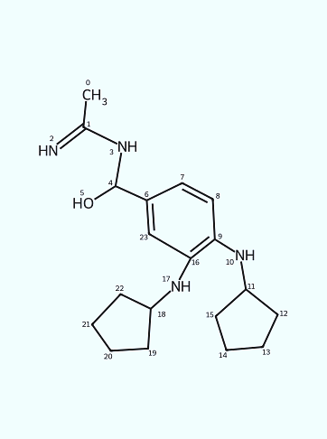 CC(=N)NC(O)c1ccc(NC2CCCC2)c(NC2CCCC2)c1